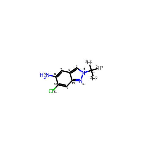 [2H]C([2H])([2H])n1cc2cc(N)c(Cl)cc2n1